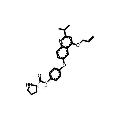 C=CCOc1cc(C(C)C)nc2ccc(Oc3ccc(NC(=O)[C@@H]4CCCN4)cc3)cc12